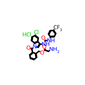 Cl.NCC(=O)OCc1ccccc1C(=O)n1cc(NC(=O)Nc2ccc(C(F)(F)F)cc2)c2cc(Cl)ccc21